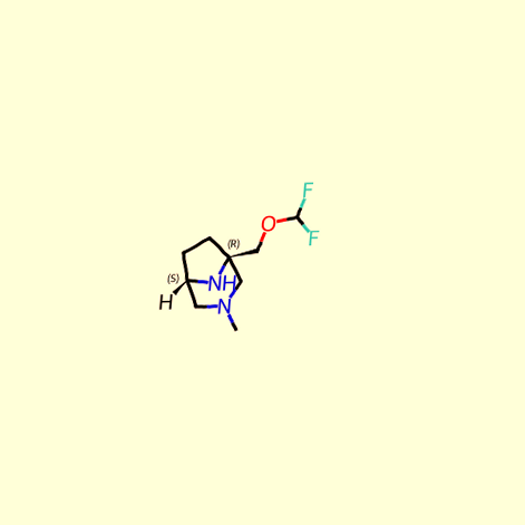 CN1C[C@@H]2CC[C@](COC(F)F)(C1)N2